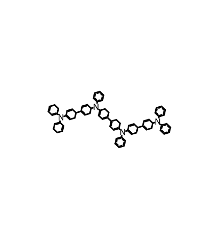 C1=CCCC(N(C2=CCCC=C2)C2=CCC(C3=CCC(N(C4=CC=C(C5=CC=C(N(C6=CCC(C7=CCC(N(c8ccccc8)c8ccccc8)C=C7)C=C6)c6ccccc6)CC5)CC4)c4ccccc4)C=C3)C=C2)=C1